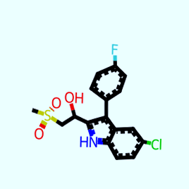 CS(=O)(=O)CC(O)c1[nH]c2ccc(Cl)cc2c1-c1ccc(F)cc1